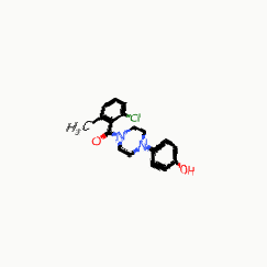 Cc1cccc(Cl)c1C(=O)N1CCN(c2ccc(O)cc2)CC1